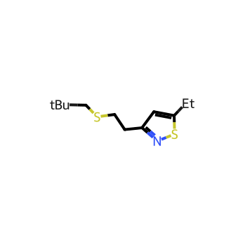 CCc1cc(CCSCC(C)(C)C)ns1